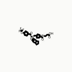 O=C(O)CCNC(=O)c1ccc(CN(NC(=O)c2ccc(OC(F)(F)F)cc2)[C@@H]2CC3CC2C2CCCC32)cc1